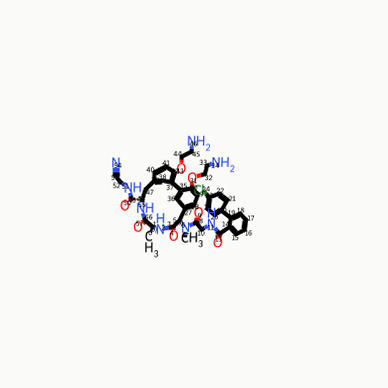 C[C@@H]1NC(=O)[C@@H](N(C)C(=O)CNC(=O)c2ccccc2-c2ccc(Cl)cc2)c2ccc(OCCN)c(c2)-c2cc(ccc2OCCN)C[C@@H](C(=O)NCC#N)NC1=O